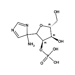 NC1(C2O[C@H](CO)[C@@H](O)[C@H]2OP(=O)(O)O)C=NC=N1